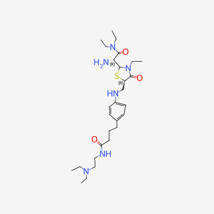 CCN(CC)CCNC(=O)CCCc1ccc(NC[C@H]2SC([C@H](N)C(=O)N(CC)CC)N(CC)C2=O)cc1